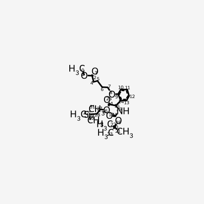 COC(=O)CCCCOc1ccccc1C(NC(=O)OC(C)(C)C)C(=O)OCC[Si](C)(C)C